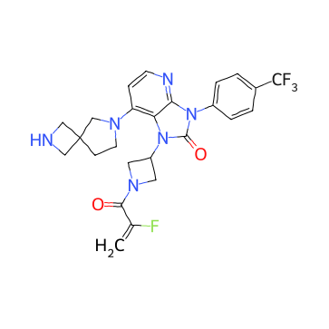 C=C(F)C(=O)N1CC(n2c(=O)n(-c3ccc(C(F)(F)F)cc3)c3nccc(N4CCC5(CNC5)C4)c32)C1